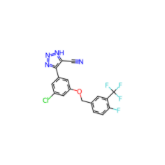 N#Cc1[nH]nnc1-c1cc(Cl)cc(OCc2ccc(F)c(C(F)(F)F)c2)c1